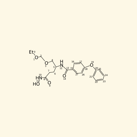 CCOCOCC(CCC(=O)NO)NC(=O)c1ccc(Oc2ccccc2)cc1